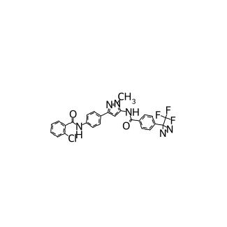 Cn1nc(-c2ccc(NC(=O)c3ccccc3Cl)cc2)cc1NC(=O)c1ccc(C2(C(F)(F)F)N=N2)cc1